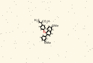 C=CC(C(=O)O)c1ccc(Oc2c(-c3cccc(OC)c3)ccc3cc(OC)ccc23)cc1